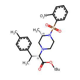 Cc1ccc(C(C)[C@@H](C(=O)OC(C)(C)C)N2CCN(S(=O)(=O)c3ccccc3[N+](=O)[O-])[C@@H](C)C2)cc1